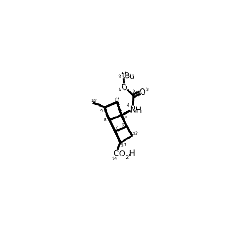 CC(C)(C)OC(=O)NC12C3C4C1C1(C)C2C3C41C(=O)O